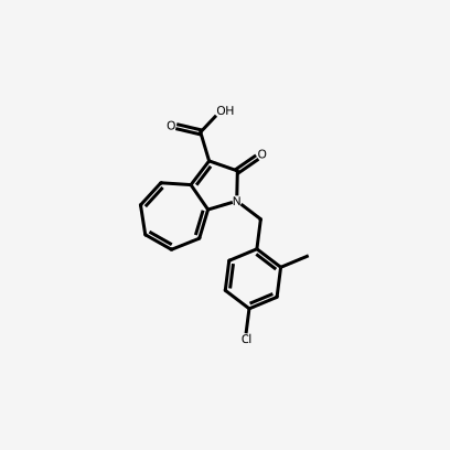 Cc1cc(Cl)ccc1Cn1c2cccccc-2c(C(=O)O)c1=O